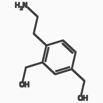 NCCc1ccc(CO)cc1CO